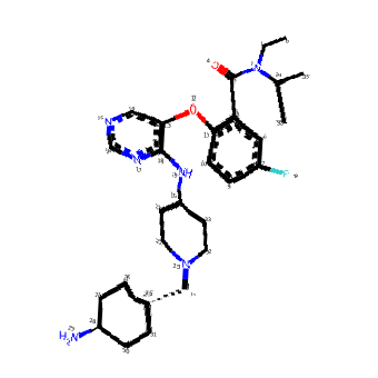 CCN(C(=O)c1cc(F)ccc1Oc1cncnc1NC1CCN(C[C@H]2CC[C@H](N)CC2)CC1)C(C)C